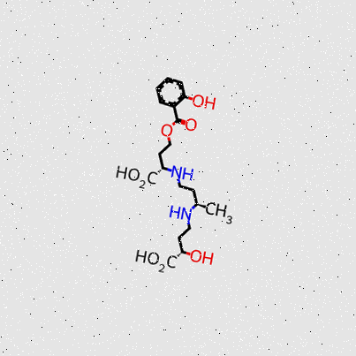 C[C@H](CCN[C@@H](CCOC(=O)c1ccccc1O)C(=O)O)NCC[C@H](O)C(=O)O